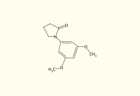 COc1cc(OC)cc(N2CCCC2=O)c1